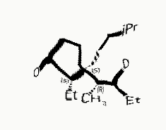 CCC(=O)[C@H](C)[C@]1(CCC(C)C)CCC(=O)[C@H]1CC